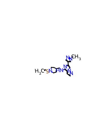 C=CSN1CCC(CNc2nc(-c3cnn(C)c3)cn3nccc23)CC1